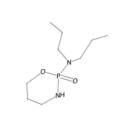 CCCN(CCC)P1(=O)NCCCO1